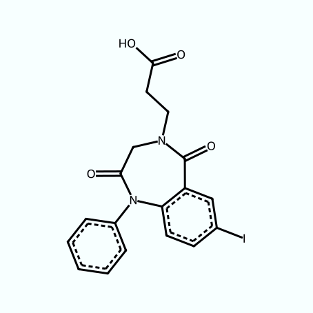 O=C(O)CCN1CC(=O)N(c2ccccc2)c2ccc(I)cc2C1=O